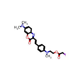 CN(C)C1=CCC2N=C(/C=C/c3ccc(N(C)CCOC(=O)CI)cc3)C(=O)OC2=C1